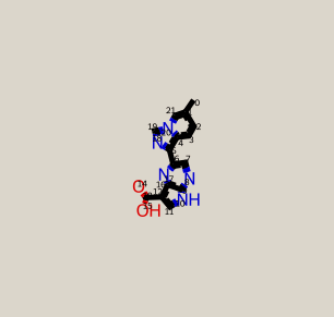 Cc1ccc2c(-c3cnc4[nH]cc(C(=O)O)c4n3)ncn2c1